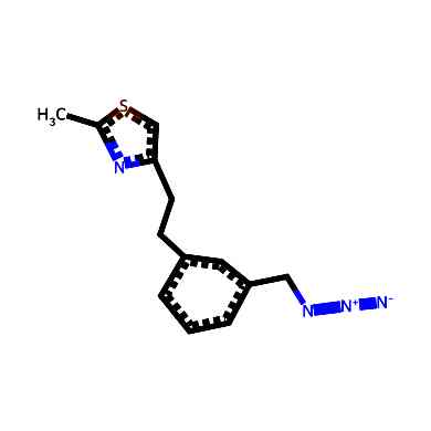 Cc1nc(CCc2cccc(CN=[N+]=[N-])c2)cs1